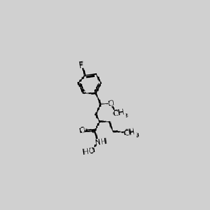 CCCC(CC(OC)c1ccc(F)cc1)C(=O)NO